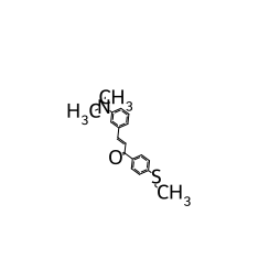 CCSc1ccc(C(=O)/C=C/c2cccc(N(C)C)c2)cc1